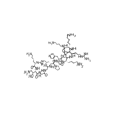 C[C@H](NC(=O)[C@@H](NC(=O)[C@@H](N)CCCCN)[C@@H](O)CN)C(=O)NCC(=O)N[C@H](CCCN)C(=O)N1CCC[C@H]1C(=O)N[C@@H](Cc1ccncc1)C(=O)N[C@@H](CCCCN)C(=O)N/C(=C\CCNC(=N)N)C(=O)N[C@@H](CCCCN)C(=O)NCCCCN